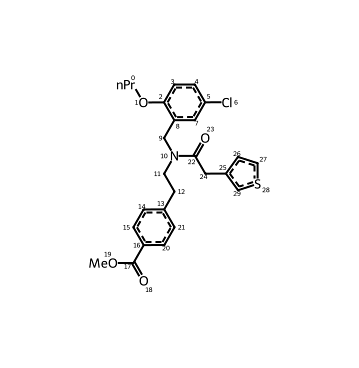 CCCOc1ccc(Cl)cc1CN(CCc1ccc(C(=O)OC)cc1)C(=O)Cc1ccsc1